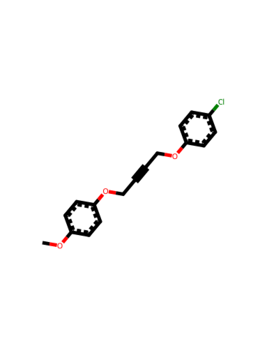 COc1ccc(OCC#CCOc2ccc(Cl)cc2)cc1